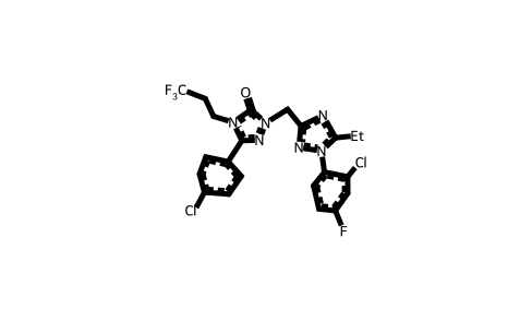 CCc1nc(Cn2nc(-c3ccc(Cl)cc3)n(CCC(F)(F)F)c2=O)nn1-c1ccc(F)cc1Cl